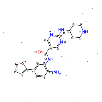 Nc1ccc(-c2cccs2)cc1NC(=O)c1cnc(NC2CCNCC2)nc1